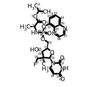 CC(C)OC(=O)[C@H](C)NP(=O)(OC[C@H]1O[C@@H](n2ccc(=O)[nH]c2=O)[C@](C)(CF)[C@@H]1O)Oc1cccc2nccnc12